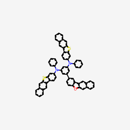 c1ccc(N(c2cc(-c3ccc4oc5cc6ccccc6cc5c4c3)cc(N(c3ccccc3)c3ccc4c(c3)sc3cc5ccccc5cc34)c2)c2ccc3c(c2)sc2cc4ccccc4cc23)cc1